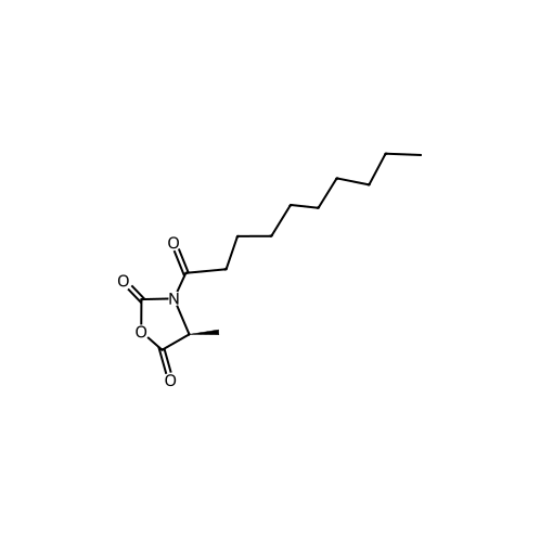 CCCCCCCCCC(=O)N1C(=O)OC(=O)[C@@H]1C